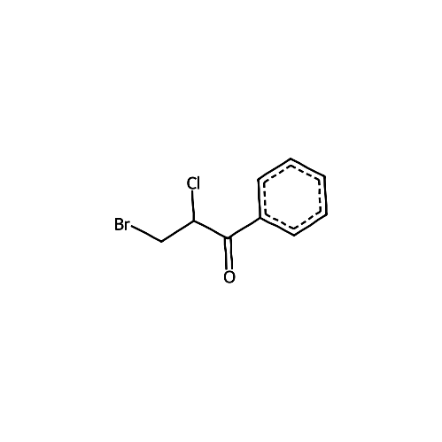 O=C(c1ccccc1)C(Cl)CBr